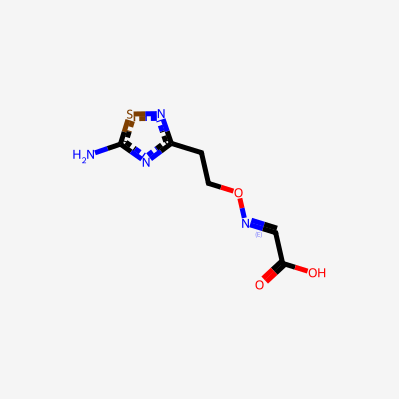 Nc1nc(CCO/N=C/C(=O)O)ns1